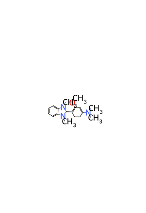 COc1cc(N(C)C)ccc1C1N(C)c2ccccc2N1C